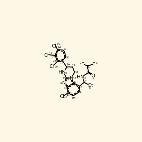 CCC(NC(=O)C(F)F)c1ccc(Cl)c2nc3n(c12)CCC(c1ccc(Cl)c(Cl)c1Cl)N3